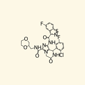 O=C1Cn2c(C(=O)NCC3COCCO3)nc(NC(=O)c3nsc4ccc(F)cc34)c2C(c2cc(F)ccc2Cl)N1